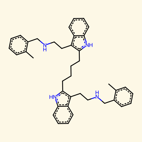 Cc1ccccc1CNCCc1c(CCCCc2[nH]c3ccccc3c2CCNCc2ccccc2C)[nH]c2ccccc12